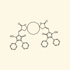 O=C1OC2(CCCCCC3(CCCC2)CC(=Cc2c(O)n(-c4ccccc4)n(-c4ccccc4)c2=O)C(=O)O3)CC1=Cc1c(O)n(-c2ccccc2)n(-c2ccccc2)c1=O